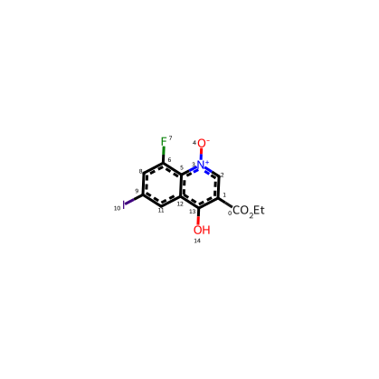 CCOC(=O)c1c[n+]([O-])c2c(F)cc(I)cc2c1O